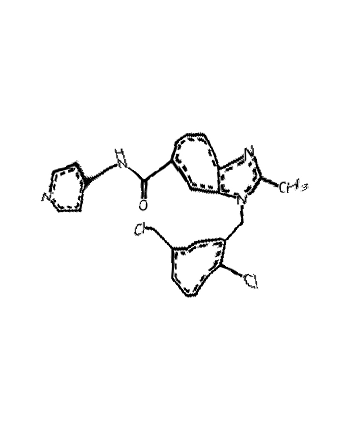 Cc1nc2ccc(C(=O)Nc3ccncc3)cc2n1Cc1cc(Cl)ccc1Cl